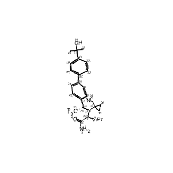 CCC[C@@H](C(N)=O)N([C@@H](c1ccc(-c2ccc(C(C)(C)O)cc2)cc1)C(F)(F)F)C1(C#N)CC1